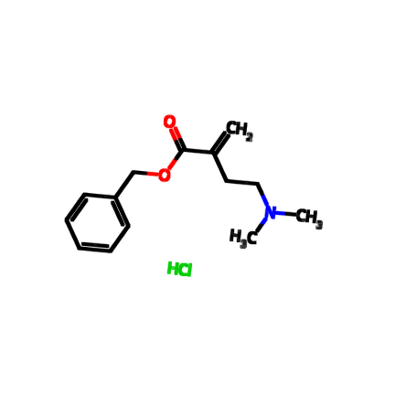 C=C(CCN(C)C)C(=O)OCc1ccccc1.Cl